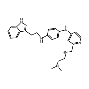 CN(C)CCNCc1cc(Nc2ccc(NCCc3c[nH]c4ccccc34)cc2)ccn1